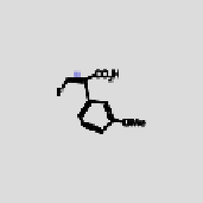 COc1cccc(/C(=C\F)C(=O)O)c1